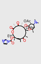 CC[C@H]1OC(=O)[C@H](C)C(=O)[C@H](C)[C@@H](O[C@@H]2O[C@H](C)C[C@H](N(C)C)[C@H]2OC(C)=O)[C@](C)(OC)C[C@@H](C)C(=O)/C(C)=C\[C@]1(C)OC(=O)n1ccnc1